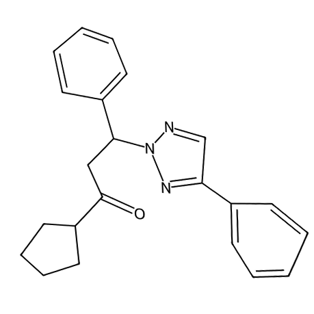 O=C(CC(c1ccccc1)n1ncc(-c2ccccc2)n1)C1CCCC1